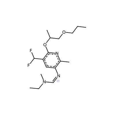 CCCOCC(C)Oc1nc(C)c(/N=C\N(C)CC)cc1C(F)F